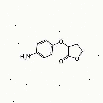 Nc1ccc(OC2CCOC2=O)cc1